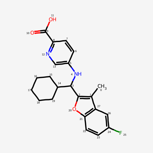 Cc1c(C(Nc2ccc(C(=O)O)nc2)C2CCCCC2)oc2ccc(F)cc12